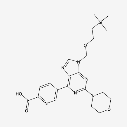 C[Si](C)(C)CCOCn1cnc2c(-c3ccc(C(=O)O)nc3)nc(N3CCOCC3)nc21